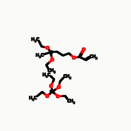 C=CC(=O)OCCC[Si](C)(OCC)OCC.CCO[Si](OCC)(OCC)OCC